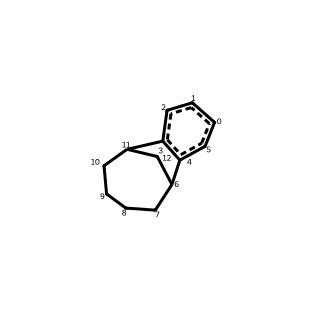 c1ccc2c(c1)C1CCCCC2C1